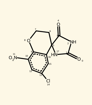 O=C1NC(=O)C2(CCOc3c([N+](=O)[O-])cc(Cl)cc32)N1